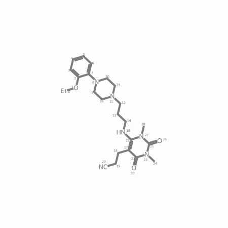 CCOc1ccccc1N1CCN(CCCNc2c(CCC#N)c(=O)n(C)c(=O)n2C)CC1